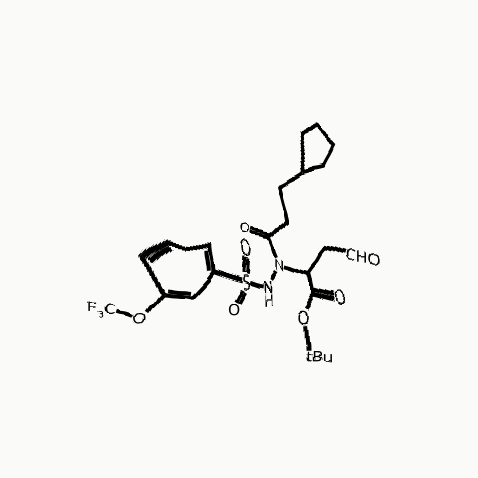 CC(C)(C)OC(=O)C(CC=O)N(NS(=O)(=O)c1cccc(OC(F)(F)F)c1)C(=O)CCC1CCCC1